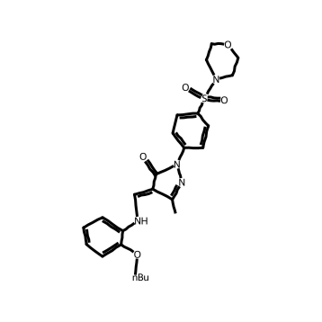 CCCCOc1ccccc1NC=C1C(=O)N(c2ccc(S(=O)(=O)N3CCOCC3)cc2)N=C1C